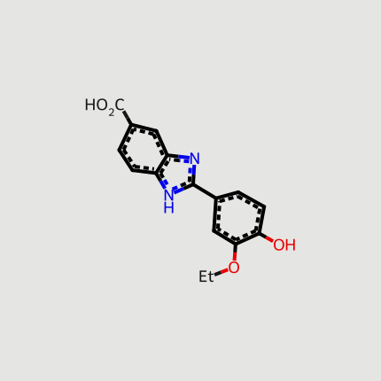 CCOc1cc(-c2nc3cc(C(=O)O)ccc3[nH]2)ccc1O